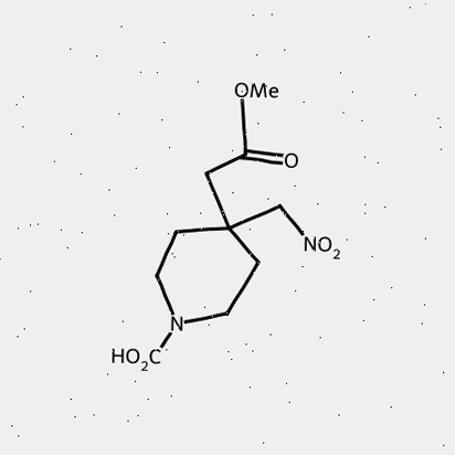 COC(=O)CC1(C[N+](=O)[O-])CCN(C(=O)O)CC1